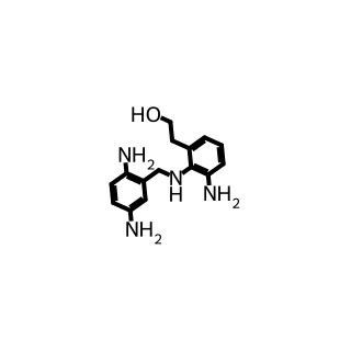 Nc1ccc(N)c(CNc2c(N)cccc2CCO)c1